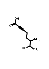 CC(O)C(N)CCC#CC(=O)O